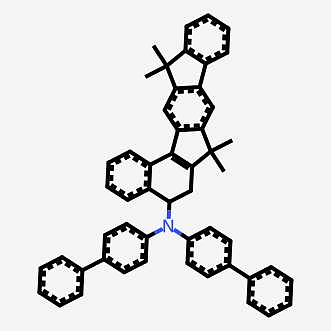 CC1(C)C2=C(c3ccccc3C(N(c3ccc(-c4ccccc4)cc3)c3ccc(-c4ccccc4)cc3)C2)c2cc3c(cc21)-c1ccccc1C3(C)C